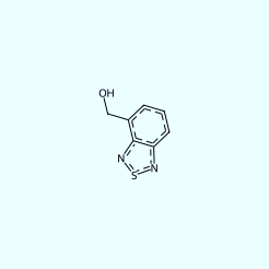 OCc1cccc2nsnc12